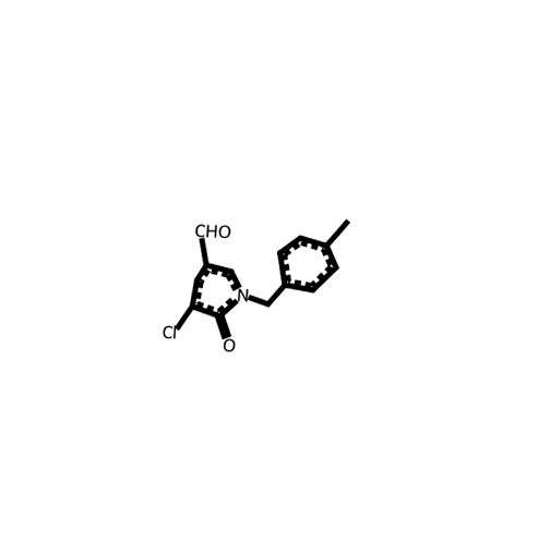 Cc1ccc(Cn2cc(C=O)cc(Cl)c2=O)cc1